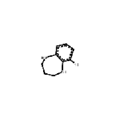 [2H]c1cccc2c1NCCCN2